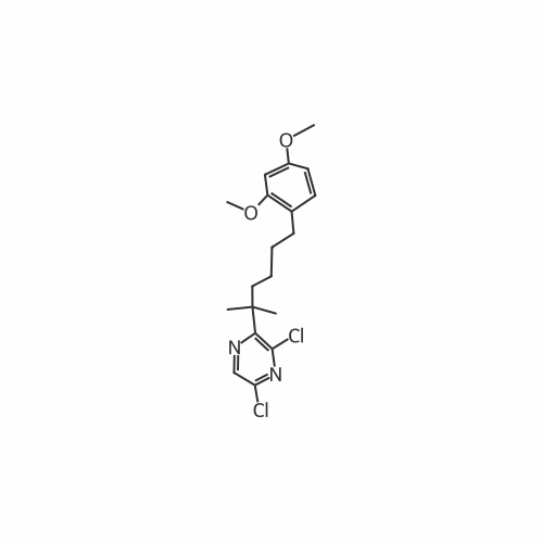 COc1ccc(CCCCC(C)(C)c2ncc(Cl)nc2Cl)c(OC)c1